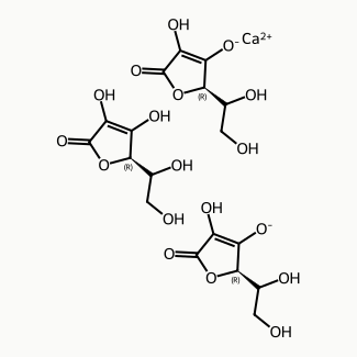 O=C1O[C@H](C(O)CO)C(O)=C1O.O=C1O[C@H](C(O)CO)C([O-])=C1O.O=C1O[C@H](C(O)CO)C([O-])=C1O.[Ca+2]